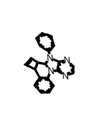 C1=CC2C1c1ccccc1N1c3nccnc3N(c3ccccc3)C21